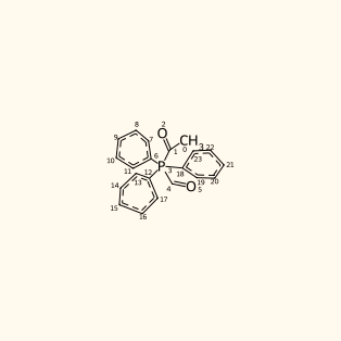 CC(=O)P(C=O)(c1ccccc1)(c1ccccc1)c1ccccc1